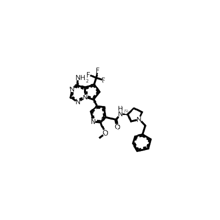 COc1ncc(-c2cc(C(F)(F)F)c3c(N)ncnn23)cc1C(=O)N[C@H]1CCN(Cc2ccccc2)C1